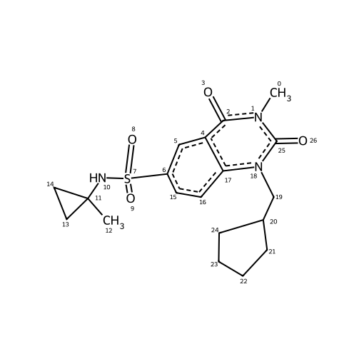 Cn1c(=O)c2cc(S(=O)(=O)NC3(C)CC3)ccc2n(CC2CCCC2)c1=O